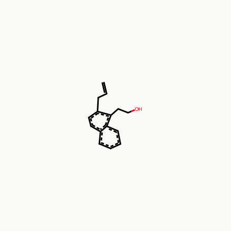 C=CCc1ccc2ccccc2c1CCO